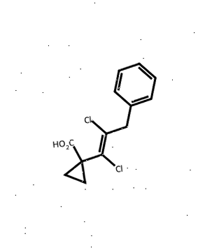 O=C(O)C1(C(Cl)=C(Cl)Cc2ccccc2)CC1